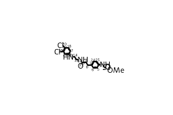 COOSNc1ccc(CCC(=O)NCCNc2ccc(Cl)c(Cl)c2)cc1